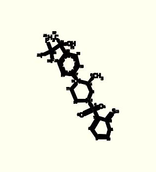 C[C@H]1CN(S(=O)(=O)C2=CC=CCC2=S)CCN1c1ccc([C@@](C)(O)C(F)(F)F)cc1